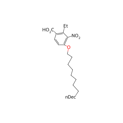 CCCCCCCCCCCCCCCCCCOc1ccc(C(=O)O)c(CC)c1[N+](=O)[O-]